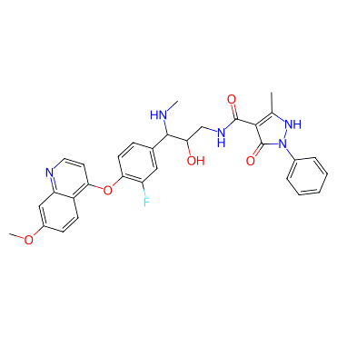 CNC(c1ccc(Oc2ccnc3cc(OC)ccc23)c(F)c1)C(O)CNC(=O)c1c(C)[nH]n(-c2ccccc2)c1=O